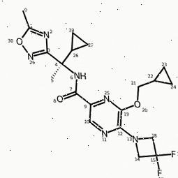 Cc1nc([C@](C)(NC(=O)c2cnc(N3CC(F)(F)C3)c(OCC3CC3)n2)C2CC2)no1